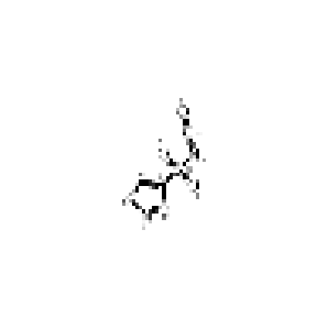 O=C=NS(=O)(=O)c1csnn1